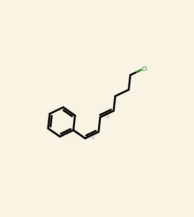 ClCCC/C=C/C=C\c1ccccc1